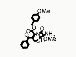 COc1ccc(COC(=O)C2=C(C(=O)c3ccccc3)CS[C@@H]3N2C(=O)C3(N)OC)cc1